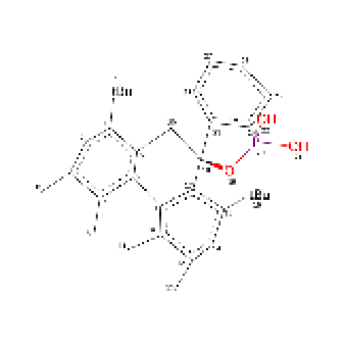 Cc1cc(C(C)(C)C)c2c(c1C)-c1c(C)c(C)cc(C(C)(C)C)c1[C@@](OP(O)O)(c1ccccc1)C2